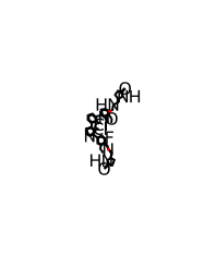 COc1nc(-c2cccc(-c3ccnc(-c4cc(F)c5c(c4)CCN(CC4CCC(=O)N4)C5)c3Cl)c2Cl)ccc1CNCC1CCC(=O)N1